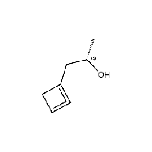 C[C@H](O)CC1=C=CC1